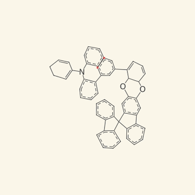 C1=CC2Oc3cc4c(cc3OC2C(c2cccc(-c3ccccc3N(C3=CCCC=C3)c3ccccc3)c2)=C1)C1(c2ccccc2-c2ccccc21)c1ccccc1-4